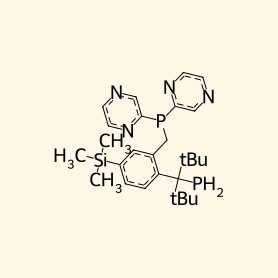 CC(C)(C)C(P)(c1ccc([Si](C)(C)C)cc1CP(c1cnccn1)c1cnccn1)C(C)(C)C